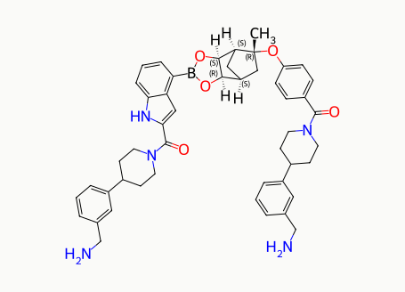 C[C@@]1(Oc2ccc(C(=O)N3CCC(c4cccc(CN)c4)CC3)cc2)C[C@@H]2C[C@H]1[C@@H]1OB(c3cccc4[nH]c(C(=O)N5CCC(c6cccc(CN)c6)CC5)cc34)O[C@H]21